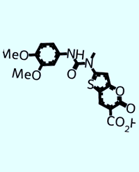 COc1ccc(NC(=O)N(C)c2cc3oc(=O)c(C(=O)O)cc3s2)cc1OC